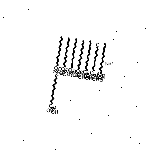 CCCCCCCCCCCCOS(=O)(=O)O.CCCCCCCCCCCCOS(=O)(=O)O.CCCCCCCCCCCCOS(=O)(=O)O.CCCCCCCCCCCCOS(=O)(=O)O.CCCCCCCCCCCCOS(=O)(=O)O.CCCCCCCCCCCCOS(=O)(=O)O.CCCCCCCCCCCCOS(=O)(=O)O.CCCCCCCCCCCCOS(=O)(=O)[O-].[Na+]